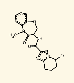 CCC1CCCc2nc(C(=O)NC3COc4ccccc4N(C)C3=O)nn21